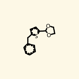 c1ccc(Cc2ccc(C3OCCO3)s2)cc1